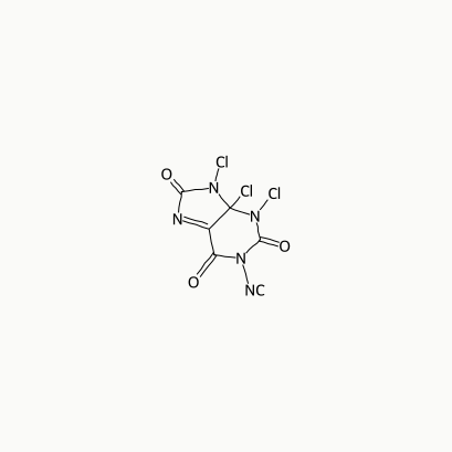 [C-]#[N+]N1C(=O)C2=NC(=O)N(Cl)C2(Cl)N(Cl)C1=O